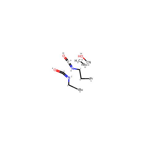 CC(C)(C)CN=C=O.CC(C)CCN=C=O.CCCCC.N#CO